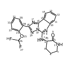 O=C1NCCC[C@H]1Nc1nc2ccccc2c2nc(-c3ccccc3OC(F)F)nn12